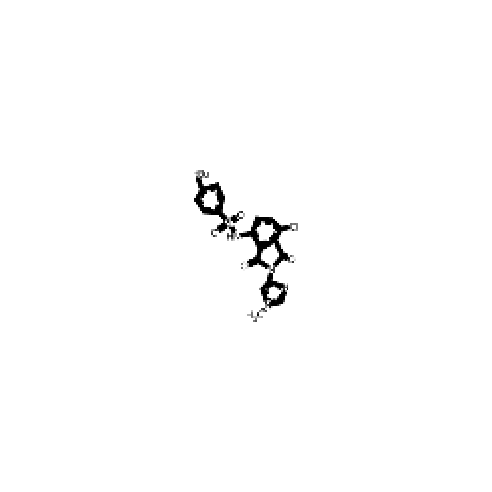 Cn1cnc(N2C(=O)c3c(Cl)ccc(NS(=O)(=O)c4ccc(C(C)(C)C)cc4)c3C2=O)c1